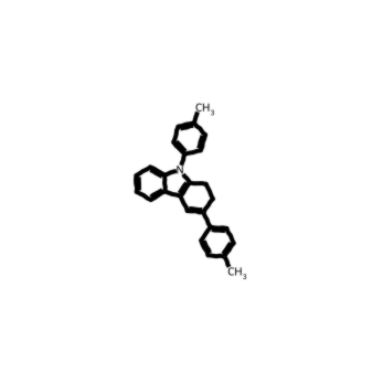 Cc1ccc(C2=Cc3c(n(-c4ccc(C)cc4)c4ccccc34)CC2)cc1